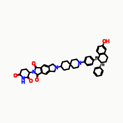 O=C1CCC(N2C(=O)c3cc4c(cc3C2=O)CN(C2CCC3(CC2)CCN(c2ccc([C@@H]5c6ccc(O)cc6CC[C@@H]5c5ccccc5)cc2)CC3)C4)C(=O)N1